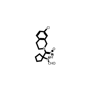 O=CN(O)C1(C(N2CCc3ccc(Cl)cc3C2)=S(=O)=O)CCCC1